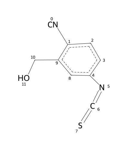 [C-]#[N+]c1ccc(N=C=S)cc1CO